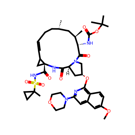 COc1ccc2c(O[C@@H]3C[C@H]4C(=O)N[C@]5(C(=O)NS(=O)(=O)C6(C)CC6)CC5/C=C\CC[C@H](C)C[C@@H](C)[C@H](NC(=O)OC(C)(C)C)C(=O)N4C3)nc(N3CCOCC3)cc2c1